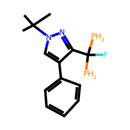 CC(C)(C)n1cc(-c2ccccc2)c(C(F)(P)P)n1